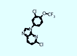 FC(F)(F)Oc1ccc(-n2cnc3ccc(Cl)nc32)cc1Cl